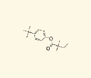 CCC(C)(C)C(=O)Oc1ccc(C(C)(C)C)cc1